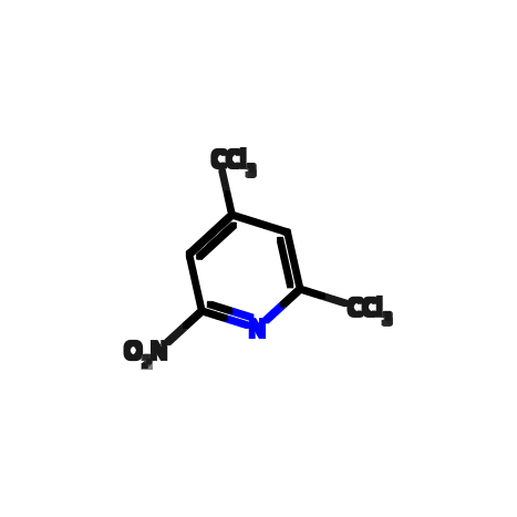 O=[N+]([O-])c1cc(C(Cl)(Cl)Cl)cc(C(Cl)(Cl)Cl)n1